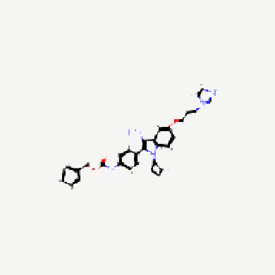 Nc1c(-c2ccc(NC(=O)OCc3ccccc3)cc2)n(C2CCC2)c2ccc(OCCCn3ccnc3)cc12